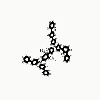 Cc1cc(N(c2ccc(-c3ccccc3)cc2)c2ccc(-c3ccccc3)cc2)ccc1-c1ccc(N(c2ccc(-c3ccc4c(c3)oc3ccccc34)cc2)c2ccc(-c3cccc4c3oc3ccccc34)cc2)cc1C